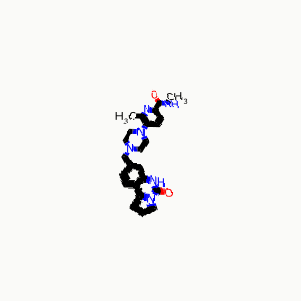 CNC(=O)c1ccc(N2CCN(Cc3ccc4c(c3)[nH]c(=O)n3cccc43)CC2)c(C)n1